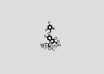 CC(C)(C)[C@@H](CO)n1cc(C(=O)O)c(=O)c2cc(OCc3c(F)cc(F)cc3F)c(F)cc21